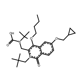 CCCCOc1c(CN(C(=O)O)C(C)(C)C)n(CC(C)(C)C)c(=O)c2ccc(OCC3CC3)cc12